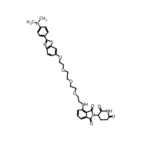 CN(C)c1ccc(-c2nc3ccc(OCCOCCOCCOCCNc4cccc5c4C(=O)N(C4CCC(=O)NC4=O)C5=O)cc3s2)cc1